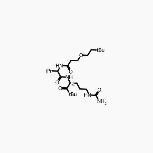 CC(C)C(NC(=O)CCOCCC(C)(C)C)C(=O)N[C@@H](CCCNC(N)=O)C(=O)C(C)(C)C